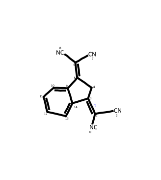 [C-]#[N+]/C(C#N)=C1/CC(=C(C#N)C#N)c2ccccc21